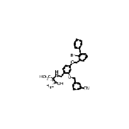 C[C@@H](O)[C@H](NCc1ccc(OCc2cccc(-c3ccccc3)c2Br)cc1OCc1cccc(C#N)c1)C(=O)O